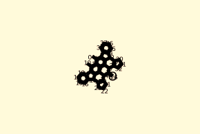 Cc1c2c3c4c5c6c7c(c(C)c15)-c1ccccc1C7C1=C(C=CC1)C6C(=O)C4C1=C(CC=C1)C3c1ccccc1-2